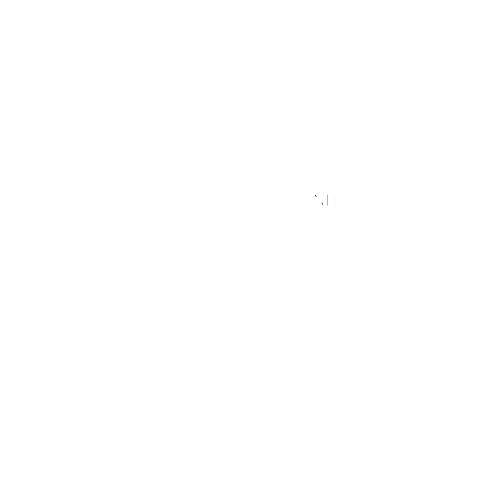 CC1CNCCC1(C)C(C)(C)C